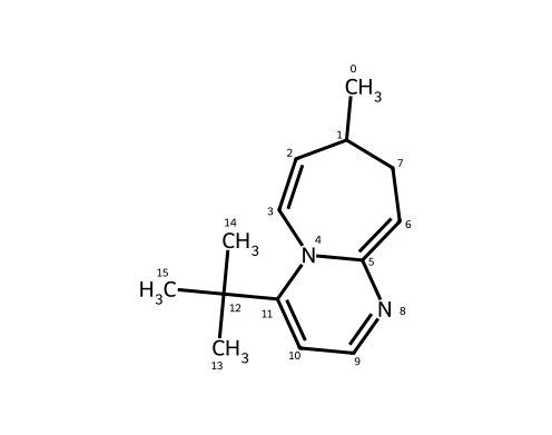 CC1C=CN2C(=CC1)N=CC=C2C(C)(C)C